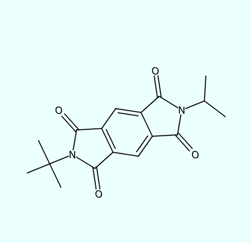 CC(C)n1c(=O)c2cc3c(=O)n(C(C)(C)C)c(=O)c3cc2c1=O